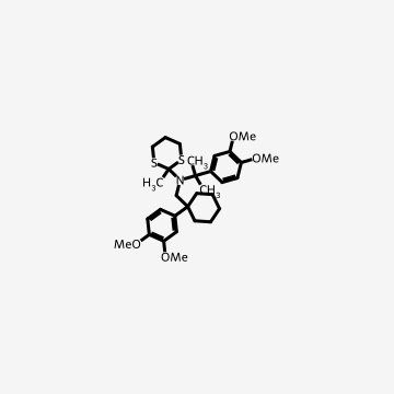 COc1ccc(C2(CN(C3(C)SCCCS3)C(C)(C)c3ccc(OC)c(OC)c3)CCCCC2)cc1OC